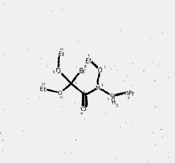 CCC[SiH2]N(OCC)C(=O)C(Br)(OCC)OCC